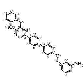 Nc1cccc(COc2ccc(-c3ccc(C(=O)NC(Cc4ccccc4)C(=O)O)cc3)cc2)c1